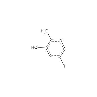 Cc1ncc(I)cc1O